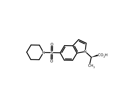 C[C@H](C(=O)O)n1ccc2cc(S(=O)(=O)N3CCCCC3)ccc21